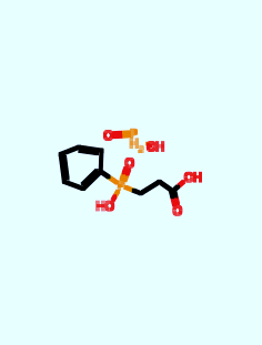 O=C(O)CCP(=O)(O)c1ccccc1.O=[PH2]O